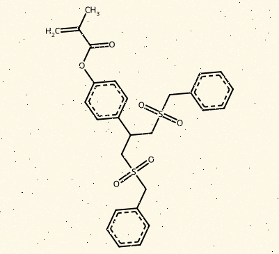 C=C(C)C(=O)Oc1ccc(C(CS(=O)(=O)Cc2ccccc2)CS(=O)(=O)Cc2ccccc2)cc1